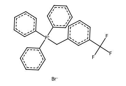 FC(F)(F)c1cccc(C[P+](c2ccccc2)(c2ccccc2)c2ccccc2)c1.[Br-]